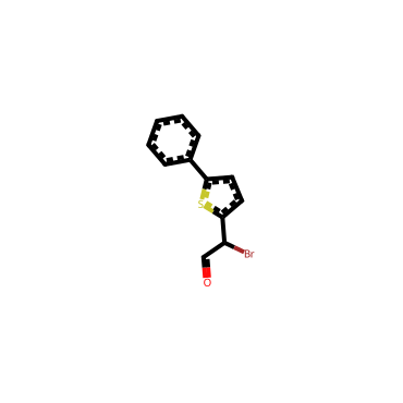 O=CC(Br)c1ccc(-c2ccccc2)s1